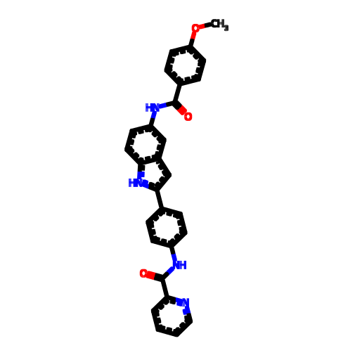 COc1ccc(C(=O)Nc2ccc3[nH]c(-c4ccc(NC(=O)c5ccccn5)cc4)cc3c2)cc1